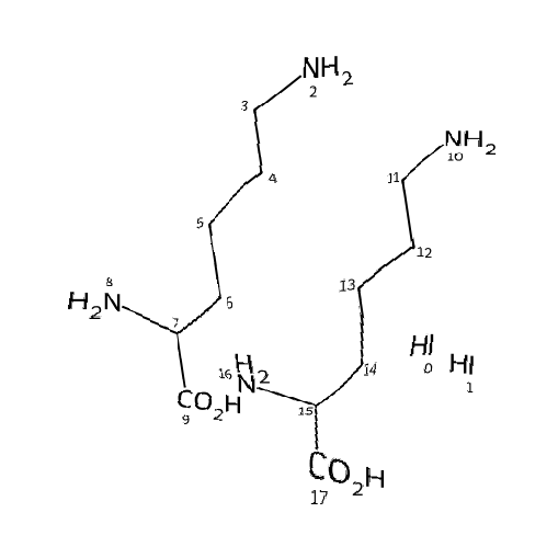 I.I.NCCCCC(N)C(=O)O.NCCCCC(N)C(=O)O